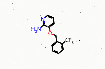 Nc1ncccc1OCc1ccccc1C(F)(F)F